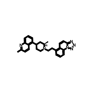 Cc1ccc2c(C3CCN(CCc4cccc5c4ccc4nnnn45)[C@H](C)C3)cccc2n1